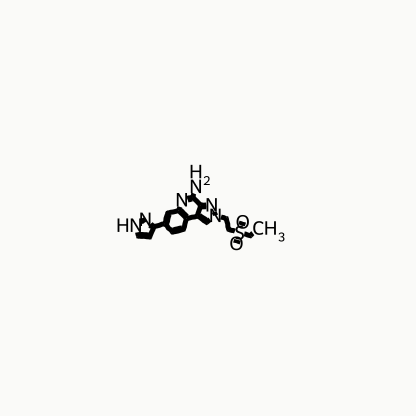 CCS(=O)(=O)CCn1cc2c(n1)c(N)nc1cc(-c3cc[nH]n3)ccc12